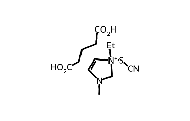 CC[N+]1(SC#N)C=CN(C)C1.O=C(O)CCCC(=O)O